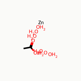 CC(=O)O.O.O.O.O.O.O.[Zn]